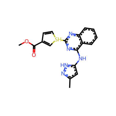 COC(=O)C1=C[SH](c2nc(Nc3cc(C)n[nH]3)c3ccccc3n2)C=C1